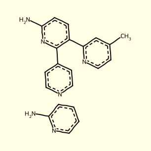 Cc1ccnc(-c2ccc(N)nc2-c2ccncc2)c1.Nc1ccccn1